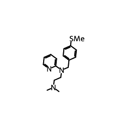 CSc1ccc(CN(CCN(C)C)c2ccccn2)cc1